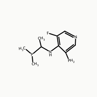 CC(Nc1c(F)cncc1P)P(C)C